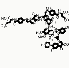 CN(Cc1cnc2nc(N)nc(N)c2n1)c1ccc(C(=O)N[C@@H](CCC(=O)O)C(=O)O)cc1.COc1ccc2nc([S+]([O-])Cc3ncc(C)c(OC)c3C)[nH]c2c1.Nc1nc(=O)c2nc(CNc3ccc(C(=O)N[C@@H](CCC(=O)O)C(=O)O)cc3)cnc2[nH]1.O=C(O)c1cn(C2CC2)c2cc(N3CCNCC3)c(F)cc2c1=O